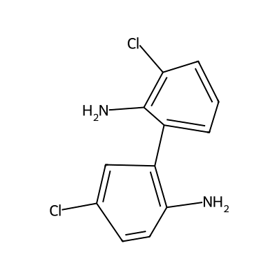 Nc1ccc(Cl)cc1-c1cccc(Cl)c1N